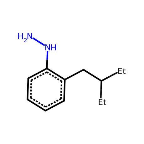 CCC(CC)Cc1ccccc1NN